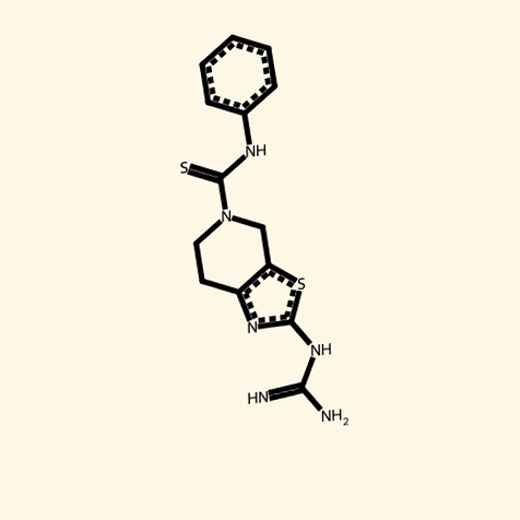 N=C(N)Nc1nc2c(s1)CN(C(=S)Nc1ccccc1)CC2